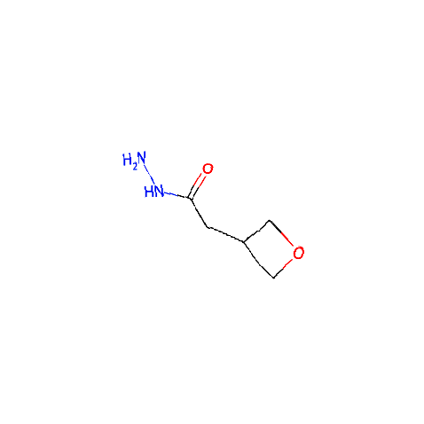 NNC(=O)CC1COC1